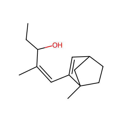 CCC(O)C(C)=CC1=CC2CCC1(C)C2